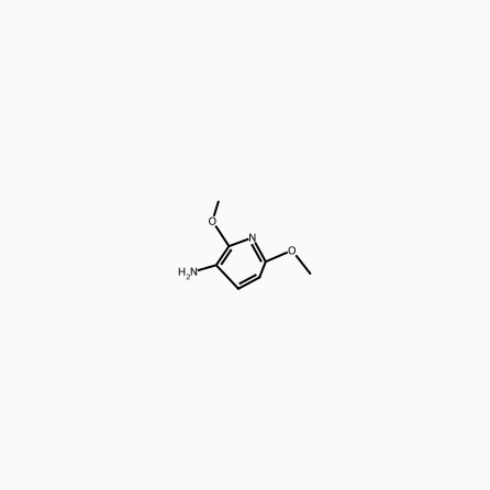 COc1ccc(N)c(OC)n1